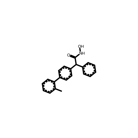 Cc1ccccc1-c1ccc(C(C(=O)NO)c2ccccc2)cc1